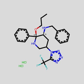 CCCO[C@]1(c2ccccc2)NCC(n2nnnc2C(F)(F)F)C[C@@H]1NCc1ccccc1.Cl.Cl